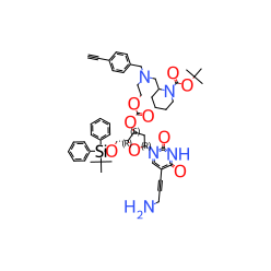 C#Cc1ccc(CN(CCOC(=O)O[C@H]2C[C@H](n3cc(C#CCN)c(=O)[nH]c3=O)O[C@@H]2CO[Si](c2ccccc2)(c2ccccc2)C(C)(C)C)CC2CCCCN2C(=O)OC(C)(C)C)cc1